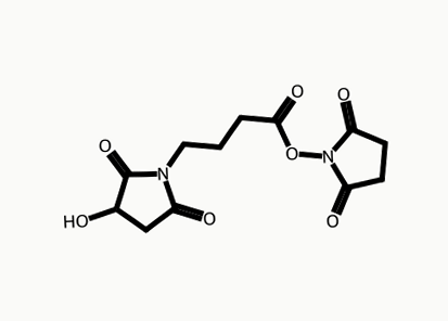 O=C(CCCN1C(=O)CC(O)C1=O)ON1C(=O)CCC1=O